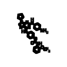 N[C@H]1CC[C@H](Nc2nc(NC3CCN(OC(=O)Nc4ccccc4OC(F)(F)F)CC3)c3ncn(C4CCCC4)c3n2)CC1